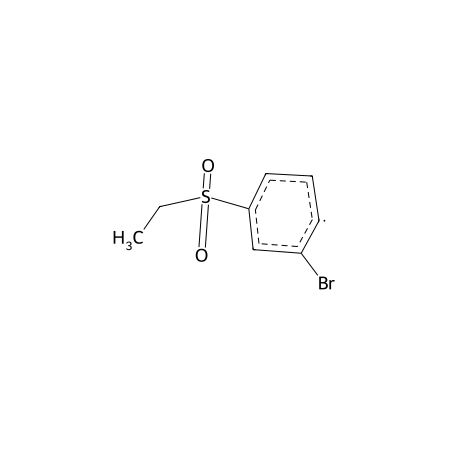 CCS(=O)(=O)c1cc[c]c(Br)c1